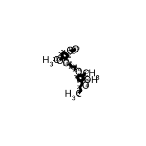 CCCC(=O)c1ccc(OCCCCOc2cc(OC=O)ccc2OC)c(C)c1O